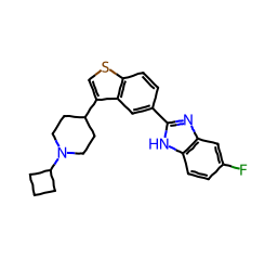 Fc1ccc2[nH]c(-c3ccc4scc(C5CCN(C6CCC6)CC5)c4c3)nc2c1